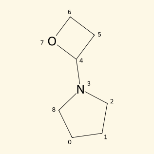 C1CCN(C2CCO2)C1